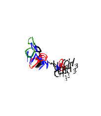 CC(C)(C)OC(=O)N1CC(CCCn2nccc2S(=O)(=O)NC(=O)c2ccc(Cl)nc2Cl)CC1(C)C